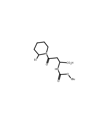 CCC1CCCCN1C(=O)CC(NC(=O)OC(C)(C)C)C(=O)O